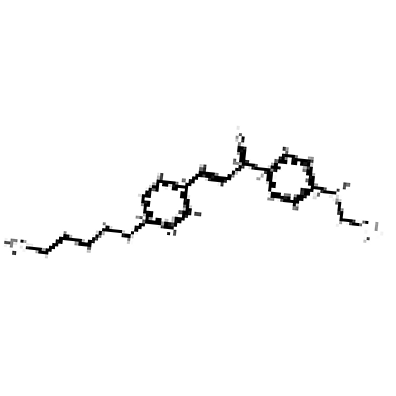 CCCCCCc1ccc(/C=C/C(=O)c2ccc(SCC)cc2)cc1